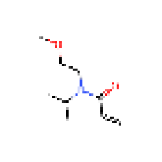 C=CC(=O)N(CCOC)C(C)C